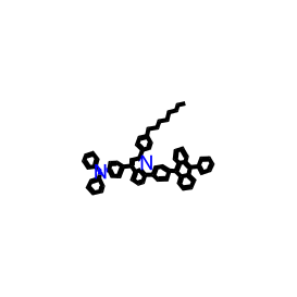 CCCCCCCCc1ccc(-c2cc(-c3ccc(N(c4ccccc4)c4ccccc4)cc3)c3cccc(-c4ccc(-c5c6ccccc6c(-c6ccccc6)c6ccccc56)cc4)c3n2)cc1